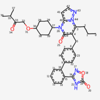 CCCc1c(Cc2ccc(-c3ccccc3-c3noc(=O)[nH]3)cc2)c(=O)n(C2CCC(OCC(=O)C(C)C)CC2)c2ccnn12